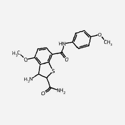 COc1ccc(NC(=O)c2ccc(OC)c3c2SC(C(N)=O)C3N)cc1